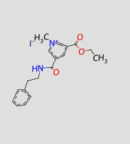 CCOC(=O)c1cc(C(=O)NCCc2ccccc2)c[n+](C)c1.[I-]